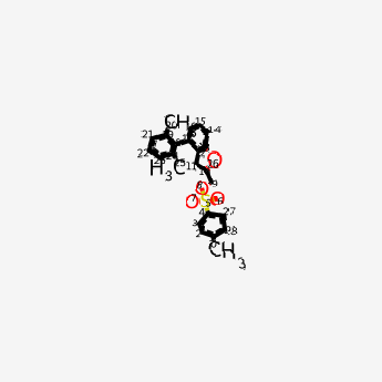 Cc1ccc(S(=O)(=O)OCC2Cc3c(cccc3-c3c(C)cccc3C)O2)cc1